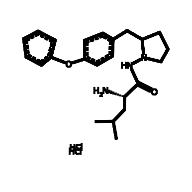 CC(C)C[C@H](N)C(=O)NN1CCCC1Cc1ccc(Oc2ccccc2)cc1.Cl.Cl